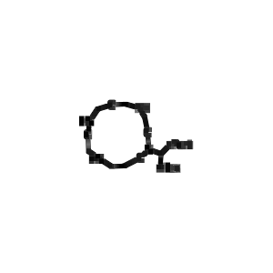 CCCCCCC(CCCCC)N1CCCNCCNCCCNCC1